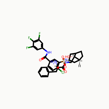 N[C@@H](Cc1ccccc1)C(=O)NC[C@@]1(O)C2CC[C@H]1C[C@H](S(=O)(=O)c1cc(C(=O)Nc3cc(F)c(F)c(F)c3)ccc1Cl)C2